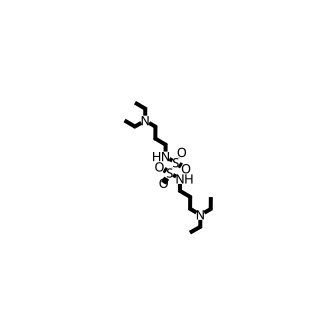 CCN(CC)CCCNS(=O)(=O)S(=O)(=O)NCCCN(CC)CC